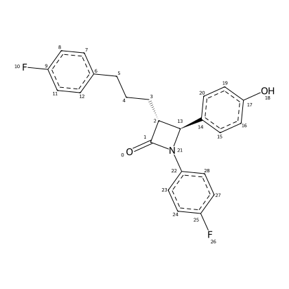 O=C1[C@H](CCCc2ccc(F)cc2)[C@@H](c2ccc(O)cc2)N1c1ccc(F)cc1